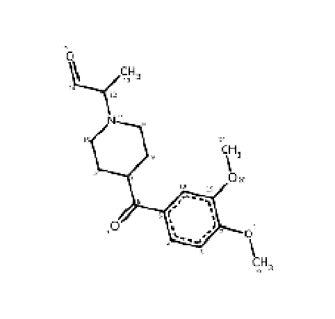 COc1ccc(C(=O)C2CCN(C(C)C=O)CC2)cc1OC